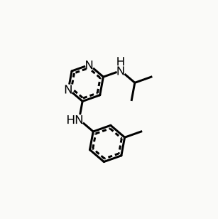 Cc1cccc(Nc2cc(NC(C)C)ncn2)c1